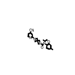 Cc1ccc2c(c1)OCC(C)N2C(=O)N1CC2(C1)CN(c1cc(C#N)ccn1)C2